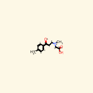 Cc1ccc(C(=O)CCN(C)CC(=O)O)cc1